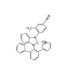 Cc1cc(C#N)ccc1N1c2ccccc2N(c2c(-c3ccccc3)cccc2-c2ccccc2)[C@H]1C